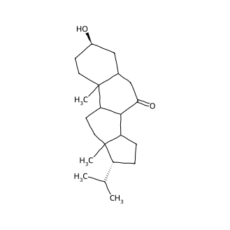 CC(C)[C@H]1CCC2C3C(=O)CC4C[C@H](O)CCC4(C)C3CCC21C